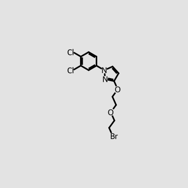 Clc1ccc(-n2ccc(OCCOCCBr)n2)cc1Cl